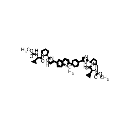 COC(=O)N[C@H](C(=O)N1CCC[C@H]1c1nc(-c2ccc3nc(C4(C)CC=C(c5cnc([C@@H]6CCCN6C(=O)[C@@H](NC(=O)OC)C6CC6)[nH]5)CC4)ccc3c2)c[nH]1)C1CC1